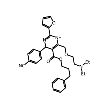 CCN(CC)CCOCC1=C(C(=O)OCCCc2ccccc2)C(c2ccc(C#N)cc2)N=C(c2ccco2)N1